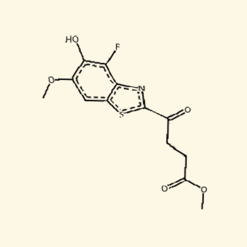 COC(=O)CCC(=O)c1nc2c(F)c(O)c(OC)cc2s1